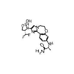 C[C@H](Nc1ccc2c(c1)OCCn1cc(N3[C@H](C(F)F)CO[SH]3O)nc1-2)C(N)=O